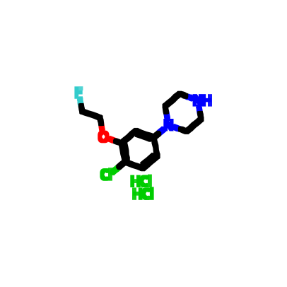 Cl.Cl.FCCOc1cc(N2CCNCC2)ccc1Cl